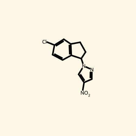 O=[N+]([O-])c1cnn(C2CCc3cc(Cl)ccc32)c1